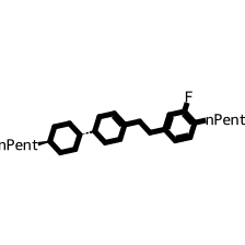 CCCCCc1ccc(CCC2=CCC([C@H]3CC[C@H](CCCCC)CC3)CC2)cc1F